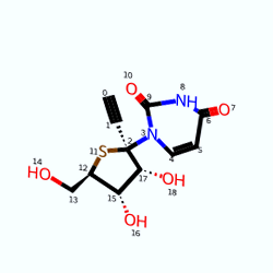 C#C[C@@]1(n2ccc(=O)[nH]c2=O)S[C@H](CO)[C@@H](O)[C@H]1O